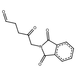 O=CCCC(=O)CN1C(=O)c2ccccc2C1=O